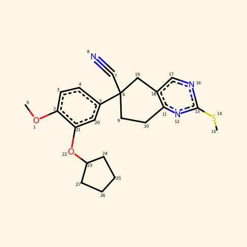 COc1ccc(C2(C#N)CCc3nc(SC)ncc3C2)cc1OC1CCCC1